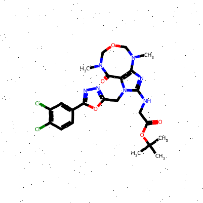 CN1COCN(C)c2nc(NCC(=O)OC(C)(C)C)n(Cc3nnc(-c4ccc(Cl)c(Cl)c4)o3)c2C1=O